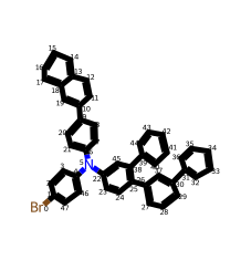 Brc1ccc(N(c2ccc(-c3ccc4ccccc4c3)cc2)c2ccc(-c3cccc(-c4ccccc4)c3)c(-c3ccccc3)c2)cc1